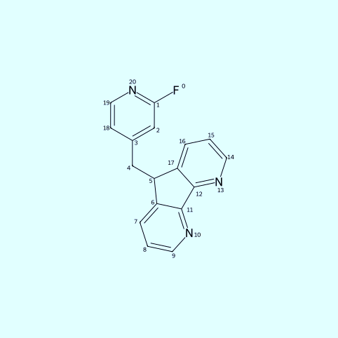 Fc1cc(CC2c3cccnc3-c3ncccc32)ccn1